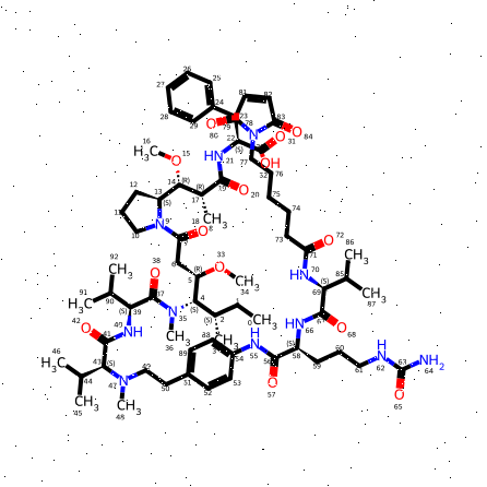 CC[C@H](C)[C@@H]([C@@H](CC(=O)N1CCC[C@H]1[C@H](OC)[C@@H](C)C(=O)N[C@@H](Cc1ccccc1)C(=O)O)OC)N(C)C(=O)[C@@H](NC(=O)[C@H](C(C)C)N(C)CCc1ccc(NC(=O)[C@H](CCCNC(N)=O)NC(=O)[C@@H](NC(=O)CCCCCN2C(=O)C=CC2=O)C(C)C)cc1)C(C)C